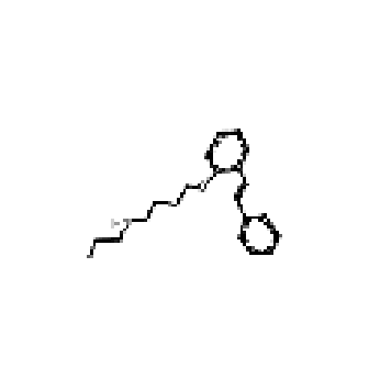 CCCNCCCCOc1ccccc1C=Cc1ccccc1